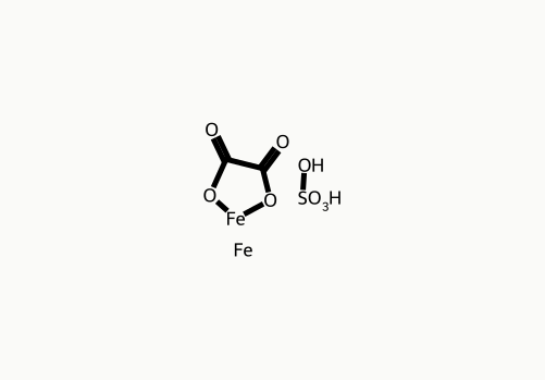 O=C1[O][Fe][O]C1=O.O=S(=O)(O)O.[Fe]